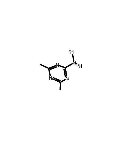 [3H]N([3H])c1nc(C)nc(C)n1